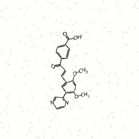 COc1cc(OC)c(-c2cnccn2)cc1C=CC(=O)c1ccc(C(=O)O)cc1